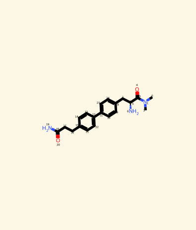 CN(C)C(=O)[C@@H](N)Cc1ccc(-c2ccc(CCC(N)=O)cc2)cc1